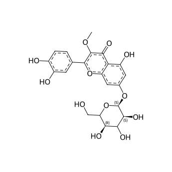 COc1c(-c2ccc(O)c(O)c2)oc2cc(O[C@@H]3OC(CO)[C@H](O)C(O)[C@@H]3O)cc(O)c2c1=O